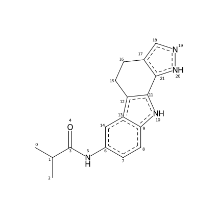 CC(C)C(=O)Nc1ccc2[nH]c3c(c2c1)CCc1cn[nH]c1-3